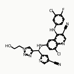 N#Cc1csc([C@H](Nc2cc(Cl)c3ncc(C#N)c(Nc4ccc(F)c(Cl)c4)c3c2)c2cn(CCO)nn2)c1